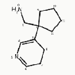 NCC1(C2=CN=CCC2)CCCC1